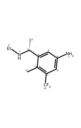 CCN[C@H](C)c1cc(N)cc(C(F)(F)F)c1C